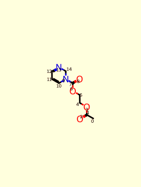 CC(=O)OCCOC(=O)N1C=CC=NC1